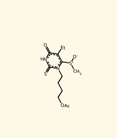 CCc1c([S+](C)[O-])n(CCCCOC(C)=O)c(=S)[nH]c1=O